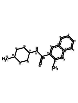 Cc1nc2ncccc2cc1C(=O)NC1CCC(C)CC1